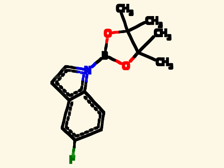 CC1(C)OB(n2ccc3cc(F)ccc32)OC1(C)C